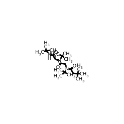 CC(C)(C)CC(=O)N(CC(=O)N(CC(=O)NC(C)(C)C)C(C)(C)C)C(C)(C)C